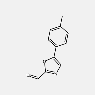 Cc1ccc(-c2cnc(C=O)o2)cc1